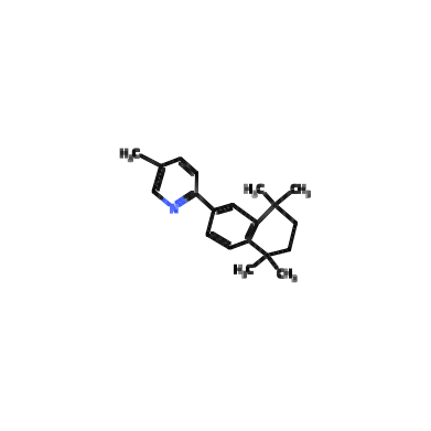 Cc1ccc(-c2ccc3c(c2)C(C)(C)CCC3(C)C)nc1